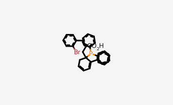 O=C(O)/C(=C/c1ccccc1Br)CC1(P(c2ccccc2)c2ccccc2)CC=CC=C1c1ccccc1